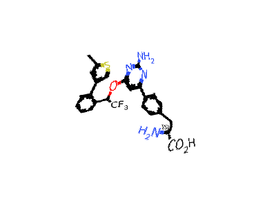 Cc1cc(-c2ccccc2C(Oc2cc(-c3ccc(C[C@H](N)C(=O)O)cc3)nc(N)n2)C(F)(F)F)cs1